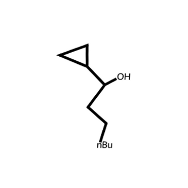 CCCCCCC(O)C1CC1